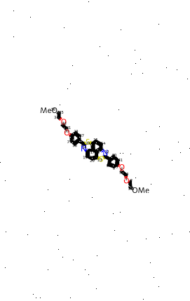 COCCOCCOc1ccc(C2=Nc3ccc4c5c(ccc(c35)S2)N=C(c2ccc(OCCOCCOC)cc2)S4)cc1